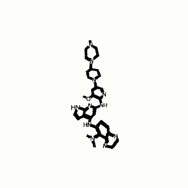 COc1cc(N2CCC(N3CCN(C)CC3)CC2)cnc1Nc1cc(Nc2ccc3nccnc3c2N(C)C)c2cc[nH]c2n1